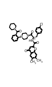 Cc1cc2oc(C(=O)N[C@H](Cc3ccc(Cl)cc3)C(=O)N3CCN(c4ccccc4C(=O)N4CCCCC4)CC3)cc(=O)c2cc1C